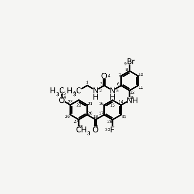 CCNC(=O)Nc1cc(Br)ccc1Nc1ccc(C(=O)c2ccc(OC)cc2C)c(F)c1